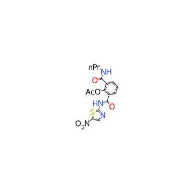 CCCNC(=O)c1cccc(C(=O)Nc2ncc([N+](=O)[O-])s2)c1OC(C)=O